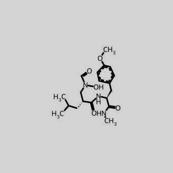 CNC(=O)[C@H](Cc1ccc(OC)cc1)NC(=O)[C@H](CC(C)C)CN(O)C=O